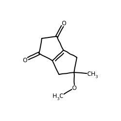 COC1(C)CC2=C(C1)C(=O)CC2=O